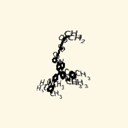 C=C(C)C(=O)OCCOC(=O)CCC(=O)OC1CCCCC1Nc1ccc(C(=C2C=CC(N(C)c3c(C)cc(C)cc3C)C=C2)c2ccc(N(C)c3c(C)cc(C)cc3C)cc2)c2ccccc12